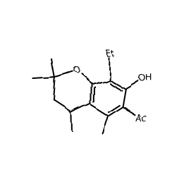 CCc1c(O)c(C(C)=O)c(C)c2c1OC(C)(C)CC2C